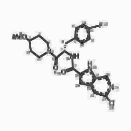 COC1CCN(C(=O)[C@H](Cc2ccc(F)cc2)NC(=O)c2cc3cc(Cl)ncc3[nH]2)CC1